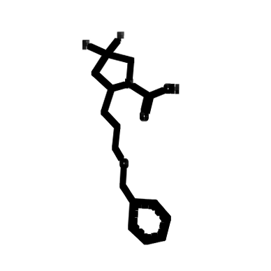 O=C(O)N1CC(F)(F)CC1CCCOCc1ccccc1